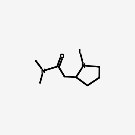 CN(C)C(=O)CC1CCCN1I